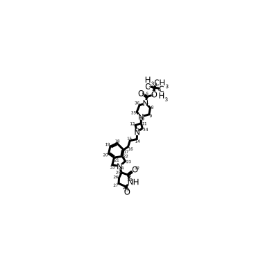 CC(C)(C)OC(=O)N1CCN(C2CN(CCCc3cccc4c3CN(C3CCC(=O)NC3=O)C4)C2)CC1